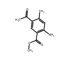 COC(=O)c1cc(C(C)=O)c(C)cc1N